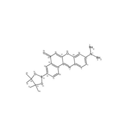 BN(B)c1ccc2nc3c4ccc(B5OC(C)(C)C(C)(C)O5)cc4c(=O)cc-3oc2c1